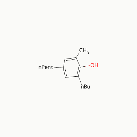 CCCCCc1cc(C)c(O)c(CCCC)c1